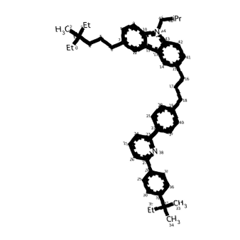 CCC(C)(CC)CCCc1ccc2c(c1)c1cc(CCCc3ccc(-c4cccc(-c5ccc(C(C)(C)CC)cc5)n4)cc3)ccc1n2CC(C)C